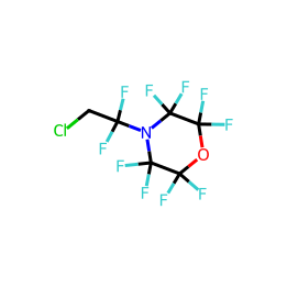 FC(F)(CCl)N1C(F)(F)C(F)(F)OC(F)(F)C1(F)F